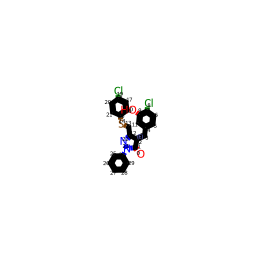 O=C1/C(=C/c2ccc(Cl)c(O)c2)C(CSC2=C=C=C(Cl)C=C2)=NN1c1ccccc1